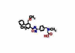 COCc1cc(-c2nc(-c3ccc(CN(C)CC(=O)O)cc3)no2)ccc1-c1ccccc1C